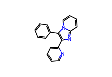 c1ccc(-c2c(-c3ccccn3)nc3ccccn23)cc1